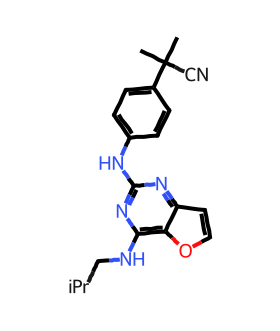 CC(C)CNc1nc(Nc2ccc(C(C)(C)C#N)cc2)nc2ccoc12